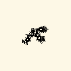 C[C@H](c1ccc2scnc2c1)N1CCC2(CC1)C(=O)N(Cc1ccc(S(C)(=O)=O)cc1)C(=O)N2Cc1ccc(S(C)(=O)=O)cc1